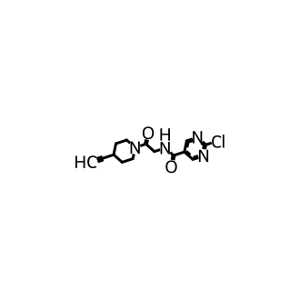 C#CC1CCN(C(=O)CNC(=O)c2cnc(Cl)nc2)CC1